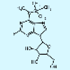 CN(c1nc(F)nc2c1ncn2C1OC(CO)C(O)C1O)[Si](C)(C)C